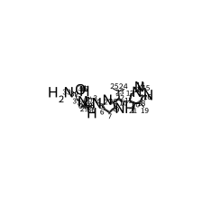 C=C1[C@@H]2CN(c3ccc4[nH]c(-c5cn6ncnc6c(C)c5C)c(C(C)C)c4n3)[C@H]1CN2CC(N)=O